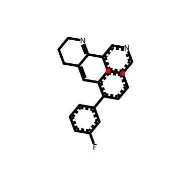 Fc1cccc(-c2ccccc2/C=C2/CCCN=C2c2cccnc2)c1